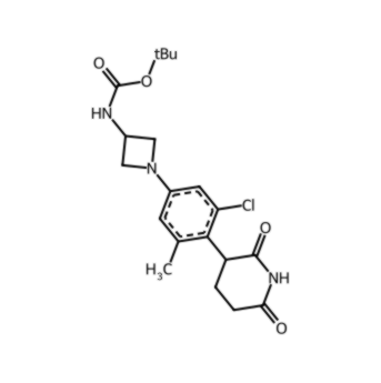 Cc1cc(N2CC(NC(=O)OC(C)(C)C)C2)cc(Cl)c1C1CCC(=O)NC1=O